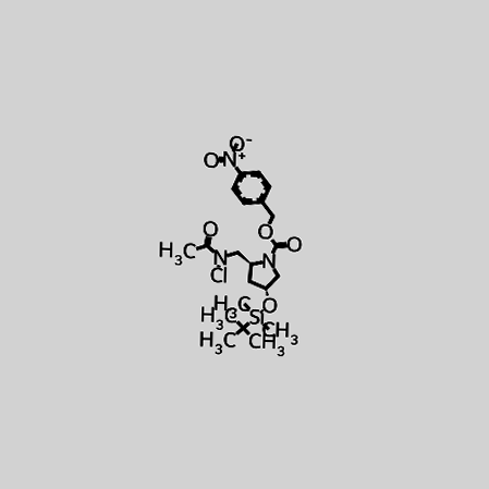 CC(=O)N(Cl)C[C@@H]1C[C@@H](O[Si](C)(C)C(C)(C)C)CN1C(=O)OCc1ccc([N+](=O)[O-])cc1